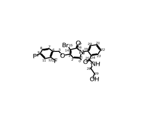 Cc1cc(OCc2ccc(F)cc2F)c(Br)c(=O)n1-c1ccccc1C(=O)NCCO